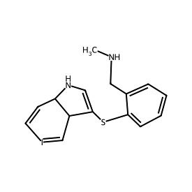 CNCc1ccccc1SC1=CNC2C=CI=CC12